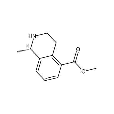 COC(=O)c1cccc2c1CCN[C@H]2C